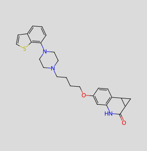 O=C1Nc2cc(OCCCCN3CCN(c4cccc5ccsc45)CC3)ccc2C2CC12